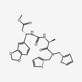 COC(=O)C[C@H](NC(=O)N[C@@H](C)C(=O)N(Cc1cccs1)Cc1cccs1)c1ccc2c(c1)OCO2